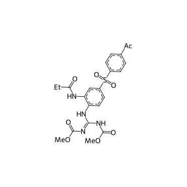 CCC(=O)Nc1cc(S(=O)(=O)c2ccc(C(C)=O)cc2)ccc1NC(=NC(=O)OC)NC(=O)OC